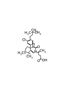 C=C(CCC(=O)O)N1C=C2[C@H](C)[C@H](C)CCC2(c2ccc(CCC(C)(C)C)c(Cl)c2)NC1=O